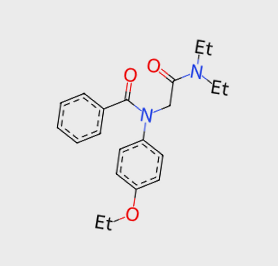 CCOc1ccc(N(CC(=O)N(CC)CC)C(=O)c2ccccc2)cc1